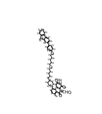 Cc1ccc(N2CCC(CCCCCOCCCCCOc3ccc(-c4ccc5c6cnccc6n(C)c5c4)cn3)CC2)cc1C(=O)N(C=O)C1CCC(=O)NC1=O